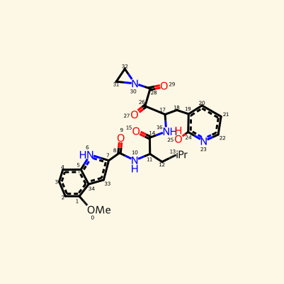 COc1cccc2[nH]c(C(=O)NC(CC(C)C)C(=O)NC(Cc3cccnc3O)C(=O)C(=O)N3CC3)cc12